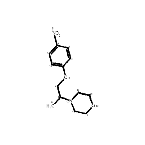 CC(COc1ccc([N+](=O)[O-])cc1)N1CCOCC1